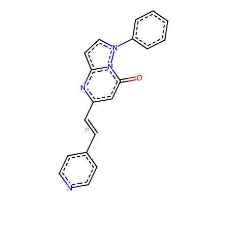 O=c1cc(/C=C/c2ccncc2)nc2ccn(-c3ccccc3)n12